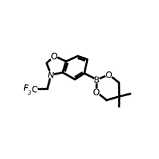 CC1(C)COB(c2ccc3c(c2)N(CC(F)(F)F)CO3)OC1